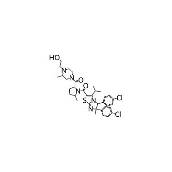 CC(C)C1=C(C(=O)N2C(C)CC[C@@H]2C(=O)N2CCN(CCO)C(C)C2)SC2=NC(C)(c3ccc(Cl)cc3)C(c3ccc(Cl)cc3)N21